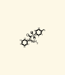 Cc1ccc(S(=O)(=O)C(=O)N(N)c2ccccc2)cc1